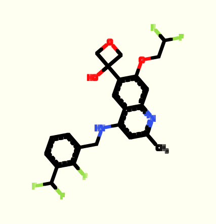 Cc1cc(NCc2cccc(C(F)F)c2F)c2cc(C3(O)COC3)c(OCC(F)F)cc2n1